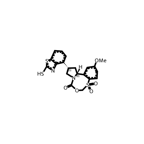 COc1ccc2c(c1)[C@H]1C[C@@H](c3cccc4sc(S)nc34)CN1C(=O)OCS2(=O)=O